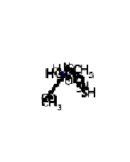 COC(=O)CCCCCC/C(O)=C(/C#N)C(=O)N(c1ccc2nc(S)sc2c1)C(C)C